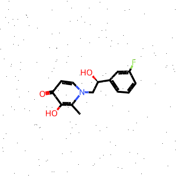 Cc1c(O)c(=O)ccn1C[C@@H](O)c1cccc(F)c1